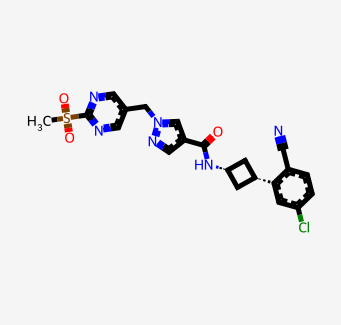 CS(=O)(=O)c1ncc(Cn2cc(C(=O)N[C@H]3C[C@@H](c4cc(Cl)ccc4C#N)C3)cn2)cn1